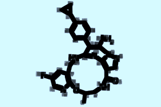 CC1CNC(=O)c2cnn3c(N)c(-c4ccc(C5CC5)cc4)c(nc23)NCc2cc(F)cnc2O1